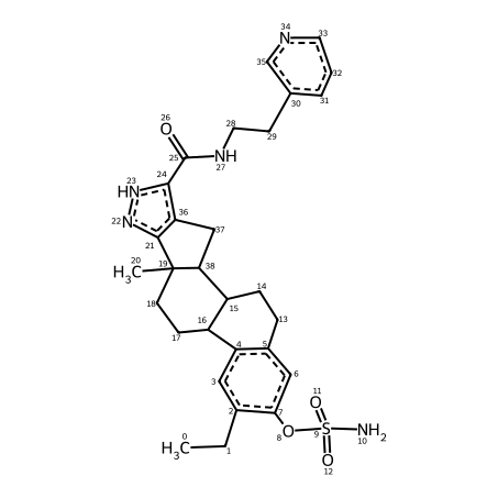 CCc1cc2c(cc1OS(N)(=O)=O)CCC1C2CCC2(C)c3n[nH]c(C(=O)NCCc4cccnc4)c3CC12